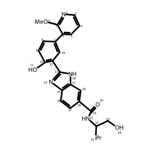 COc1ncccc1-c1ccc(O)c(-c2nc3ccc(C(=O)NC(CO)C(C)C)cc3[nH]2)c1